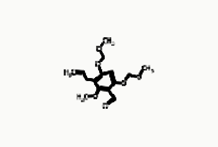 C=CCc1c(OCOC)cc(OCOC)c(C=O)c1OC